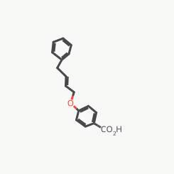 O=C(O)c1ccc(OCC=CCc2ccccc2)cc1